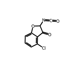 O=C=NC1Oc2cccc(Cl)c2C1=O